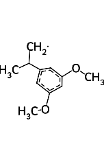 [CH2]C(C)c1cc(OC)cc(OC)c1